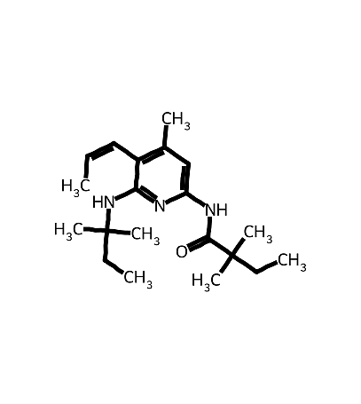 C/C=C\c1c(C)cc(NC(=O)C(C)(C)CC)nc1NC(C)(C)CC